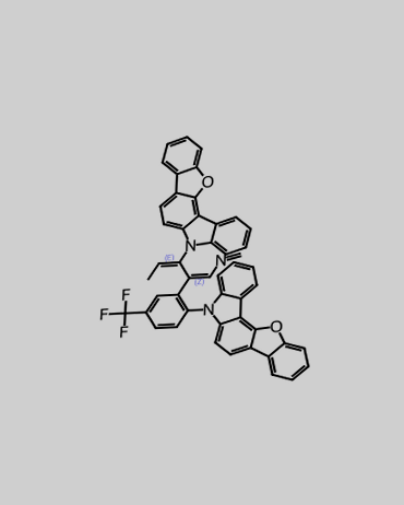 C=N/C=C(\C(=C/C)n1c2ccccc2c2c3oc4ccccc4c3ccc21)c1cc(C(F)(F)F)ccc1-n1c2ccccc2c2c3oc4ccccc4c3ccc21